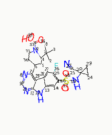 CC(C)(C)C1CC(c2ncnc3[nH]c4cc(S(=O)(=O)NC5(C#N)CC5)c(F)cc4c23)CCN1C(=O)O